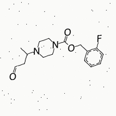 CC(CC=O)N1CCN(C(=O)OCc2ccccc2F)CC1